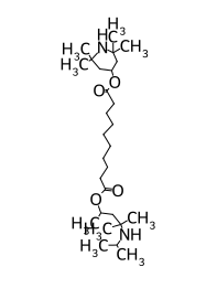 CC(C)NC(C)(C)CC(C)OC(=O)CCCCCCCCC(=O)OC1CC(C)(C)NC(C)(C)C1